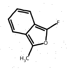 Cc1oc(F)c2ccccc12